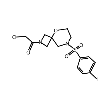 O=C(CCl)N1CC2(C1)CN(S(=O)(=O)c1ccc(I)cc1)CCO2